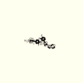 C[Si](C)(C)C#Cc1ccc(Nc2c(-c3nnc(NCCN4CCOCC4)o3)ccc(F)c2F)c(F)c1